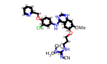 COc1cc2ncnc(Nc3ccc(OCc4ccccn4)c(Cl)c3)c2cc1OCCCN/C(=N\C#N)N(C)C